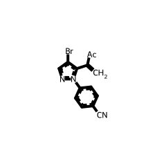 C=C(C(C)=O)c1c(Br)cnn1-c1ccc(C#N)cc1